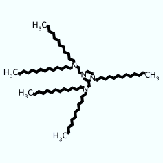 CCCCCCCCCCCCCCN(CCCCCCCCCCCC)CCN1CCN(CCCCCCCCCCCCC)C(CN(CCCCCCCCCCCC)CCCCCCCCCCCCC)C1